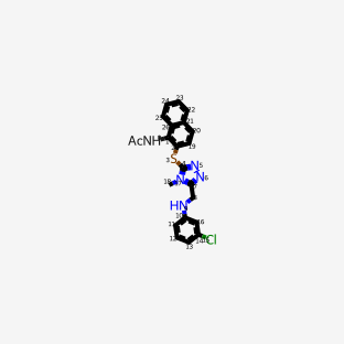 CC(=O)Nc1c(Sc2nnc(CNc3cccc(Cl)c3)n2C)ccc2ccccc12